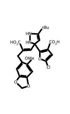 CCCCC1=CC(C=C(Cc2cc3c(cc2OC)OCO3)C(=O)O)(c2oc(Cl)cc2C(=O)O)NN1